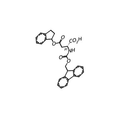 O=C(C[C@@H](NC(=O)OCC1c2ccccc2-c2ccccc21)C(=O)O)OC1CCc2ccccc21